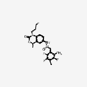 Cc1c(F)c(F)c(C[S+]([O-])Nc2ccc3c(c2)C(C)OC(=O)N3CCCF)c(P)c1F